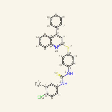 FC(F)(F)c1cc(NC(=S)Nc2ccc(Sc3cc(-c4ccccc4)c4ccccc4n3)cc2)ccc1Cl